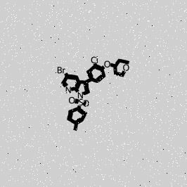 Cc1ccc(S(=O)(=O)n2cc(-c3ccc(OC4CCOCC4)c(Cl)c3)c3cc(Br)cnc32)cc1